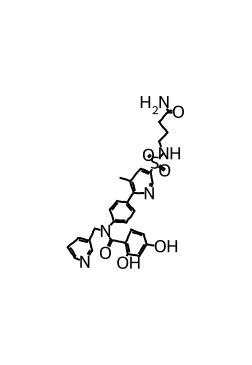 Cc1cc(S(=O)(=O)NCCCC(N)=O)cnc1-c1ccc(N(Cc2cccnc2)C(=O)c2ccc(O)cc2O)cc1